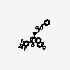 COc1ccc2c(n1)CCN(C(=O)[C@H]1C[C@@H]1CC(=O)OCc1ccccc1)[C@H]2C(=O)Nc1cc(F)c([Si](C)(C)C)c(F)c1